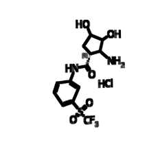 Cl.NC1C(O)C(O)C[C@H]1C(=O)Nc1cccc(S(=O)(=O)C(F)(F)F)c1